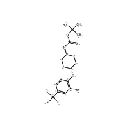 CC(C)(C)OC(=O)N[C@H]1CC[C@H](Oc2ccc(C(F)(F)F)cc2Br)CC1